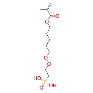 C=C(C)C(=O)OCCCCCOOCCP(=O)(O)O